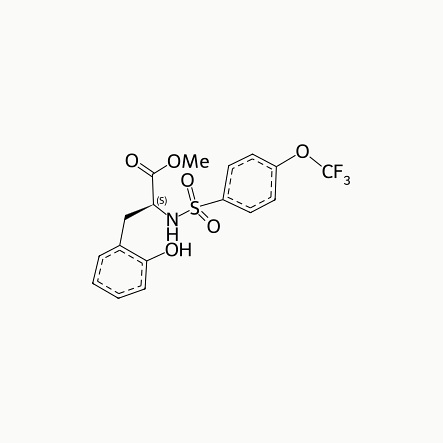 COC(=O)[C@H](Cc1ccccc1O)NS(=O)(=O)c1ccc(OC(F)(F)F)cc1